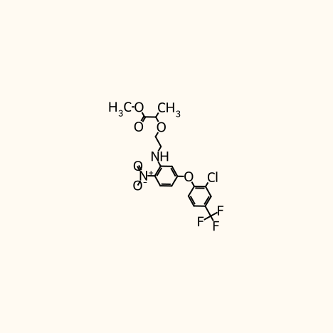 COC(=O)C(C)OCCNc1cc(Oc2ccc(C(F)(F)F)cc2Cl)ccc1[N+](=O)[O-]